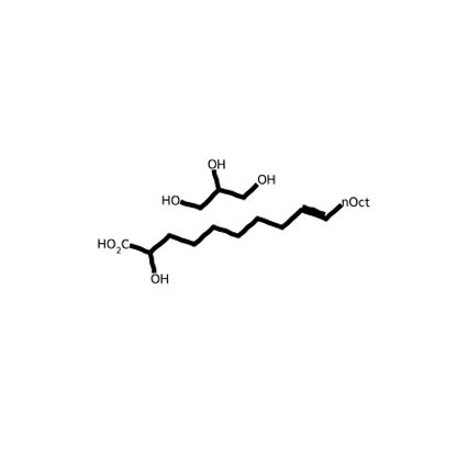 CCCCCCCCC=CCCCCCCC(O)C(=O)O.OCC(O)CO